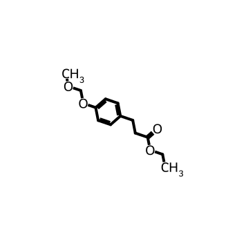 CCOC(=O)CCc1ccc(OCOC)cc1